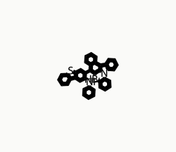 B1c2ccccc2-n2c3ccccc3c3c4ccccc4c(-c4cc5sc6ccccc6c5cc4Nc4ccccc4)c1c32